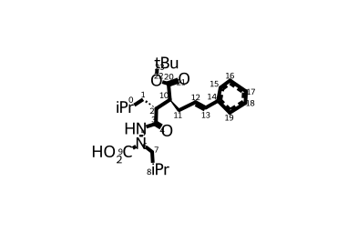 CC(C)C[C@@H](C(=O)NN(CC(C)C)C(=O)O)[C@H](CC=Cc1ccccc1)C(=O)OC(C)(C)C